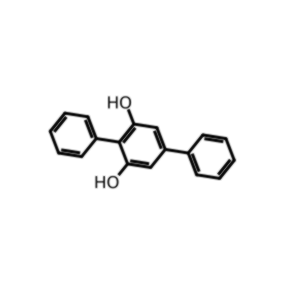 Oc1cc(-c2ccccc2)cc(O)c1-c1ccccc1